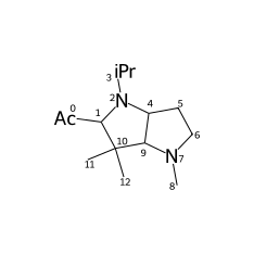 CC(=O)C1N(C(C)C)C2CCN(C)C2C1(C)C